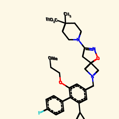 CCOC(=O)C1(C)CCN(C2=NOC3(C2)CN(Cc2cc(OCCOC)c(-c4ccc(F)cc4)c(C4CC4)c2)C3)CC1